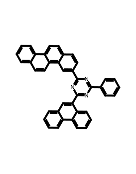 c1ccc(-c2nc(-c3ccc4ccc5c6ccccc6ccc5c4c3)nc(-c3cc4ccccc4c4ccccc34)n2)cc1